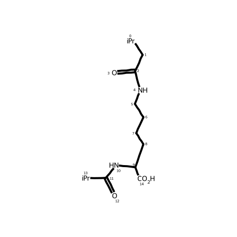 CC(C)CC(=O)NCCCCC(NC(=O)C(C)C)C(=O)O